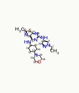 CCn1cc(Nc2nc(N[C@H]3CC[C@H](N4CCOCC4)CC3)c3nc(C)sc3n2)cn1